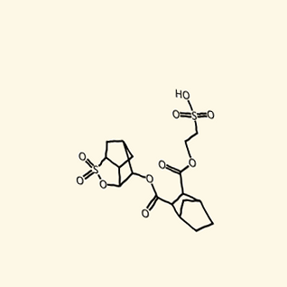 O=C(OCCS(=O)(=O)O)C1C2CCC(C2)C1C(=O)OC1C2CC3C1OS(=O)(=O)C3C2